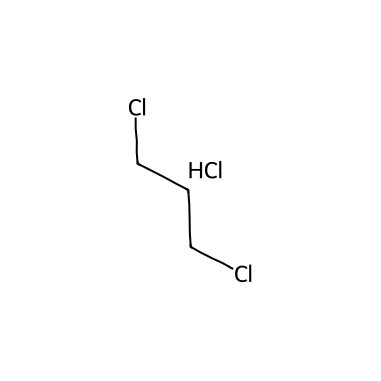 Cl.ClCCCCl